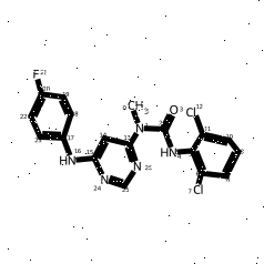 CN(C(=O)Nc1c(Cl)cccc1Cl)c1cc(Nc2ccc(F)cc2)ncn1